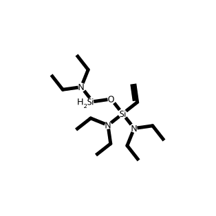 C=C[Si](O[SiH2]N(CC)CC)(N(CC)CC)N(CC)CC